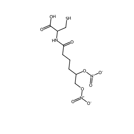 O=C(CCCC(CO[N+](=O)[O-])O[N+](=O)[O-])NC(CS)C(=O)O